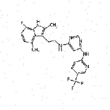 Cc1[nH]c2c(F)ccc(C)c2c1CCNc1cc(Nc2ccc(C(F)(F)F)cn2)ncn1